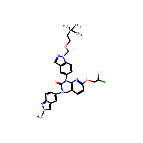 Cn1cc2cc(N3Cc4ccc(OCC(F)F)nc4N(c4ccc5c(cnn5COCC[Si](C)(C)C)c4)C3=O)ccc2n1